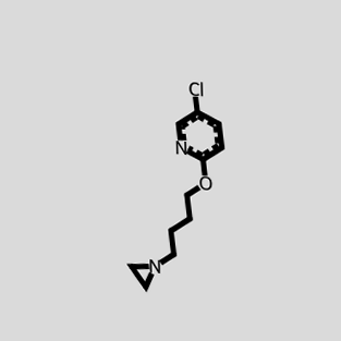 Clc1ccc(OCCCCN2CC2)nc1